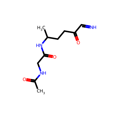 CC(=O)NCC(=O)NC(C)CCC(=O)C=N